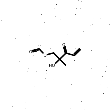 C=CC(=O)C(C)(O)COC=O